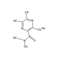 N#Cc1nc(C#N)c(C(=O)N(C#N)C#N)nc1C#N.[Na]